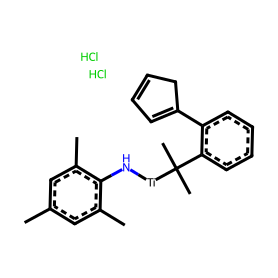 Cc1cc(C)c([NH][Ti][C](C)(C)c2ccccc2C2=CC=CC2)c(C)c1.Cl.Cl